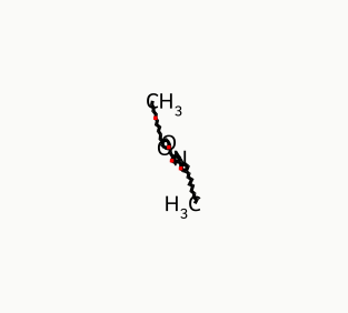 CCCCCCCCCCCCC1COC(CCc2ccc(-c3ccc(CCCCCCCCCC)cc3)nc2)OC1